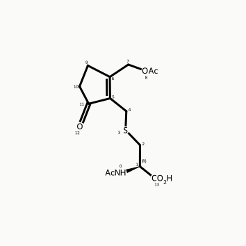 CC(=O)N[C@@H](CSCC1=C(COC(C)=O)CCC1=O)C(=O)O